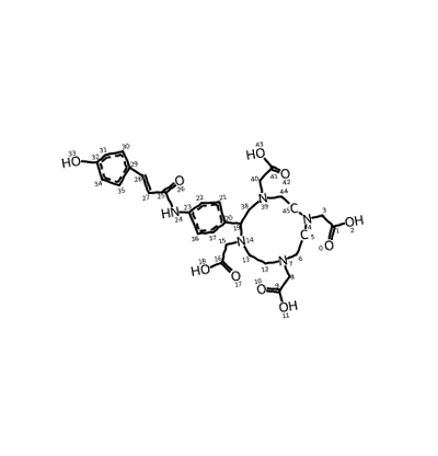 O=C(O)CN1CCN(CC(=O)O)CCN(CC(=O)O)C(c2ccc(NC(=O)/C=C/c3ccc(O)cc3)cc2)CN(CC(=O)O)CC1